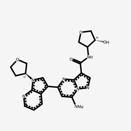 CNc1cc(-c2cn([C@H]3CCOC3)c3ncccc23)nc2c(C(=O)NC3COC[C@@H]3O)cnn12